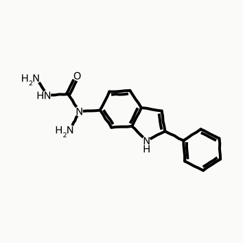 NNC(=O)N(N)c1ccc2cc(-c3ccccc3)[nH]c2c1